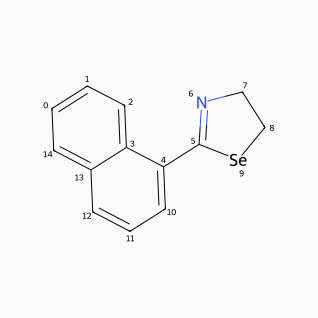 c1ccc2c(C3=NCC[Se]3)cccc2c1